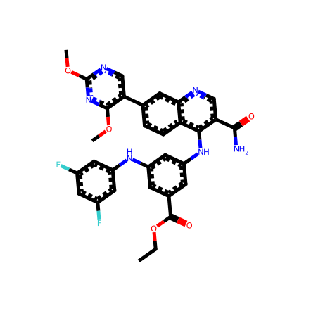 CCOC(=O)c1cc(Nc2cc(F)cc(F)c2)cc(Nc2c(C(N)=O)cnc3cc(-c4cnc(OC)nc4OC)ccc23)c1